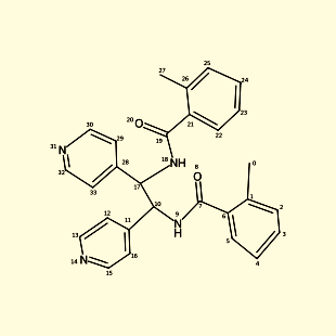 Cc1ccccc1C(=O)NC(c1ccncc1)C(NC(=O)c1ccccc1C)c1ccncc1